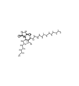 CCCCCCCCCCCCCC=C(CC)C(CCCCCCC)N1C(=O)CCC1=O